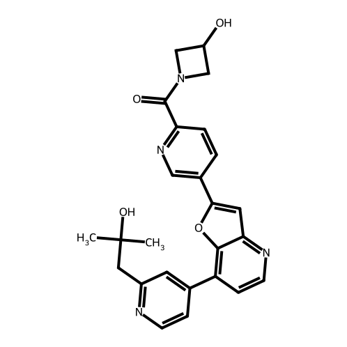 CC(C)(O)Cc1cc(-c2ccnc3cc(-c4ccc(C(=O)N5CC(O)C5)nc4)oc23)ccn1